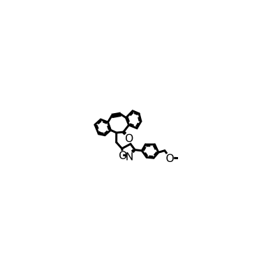 COCc1ccc(C2=NOC(CC3C(=O)c4ccccc4C#Cc4ccccc43)C2)cc1